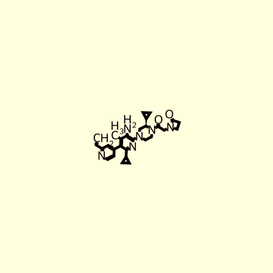 C=Cc1cc(-c2c(C3CC3)nc(N3CCN(C(=O)CN4CCC4=O)[C@H](C4CC4)C3)c(N)c2C)ccn1